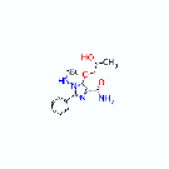 CCCCNn1c(-c2ccccc2)nc(C(N)=O)c1OCC(C)O